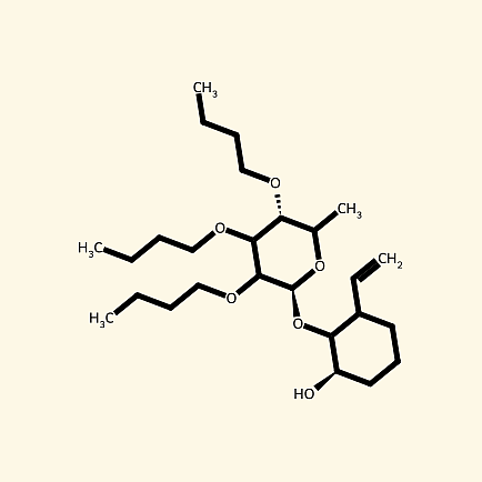 C=CC1CCC[C@@H](O)C1O[C@@H]1OC(C)[C@@H](OCCCC)C(OCCCC)C1OCCCC